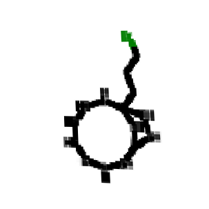 BrCCCC12BBBBBBBC(BB1)B2